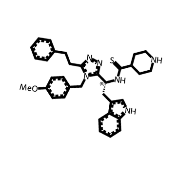 COc1ccc(Cn2c(CCc3ccccc3)nnc2[C@@H](Cc2c[nH]c3ccccc23)NC(=S)C2CCNCC2)cc1